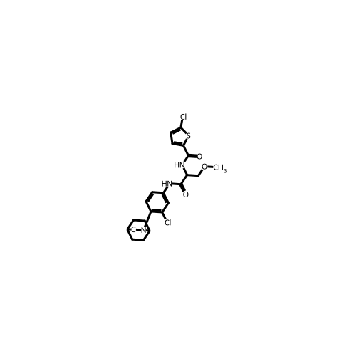 COCC(NC(=O)c1ccc(Cl)s1)C(=O)Nc1ccc(N2CC3CCC2CC3)c(Cl)c1